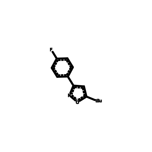 CC(C)(C)c1cc(-c2ccc(F)cc2)no1